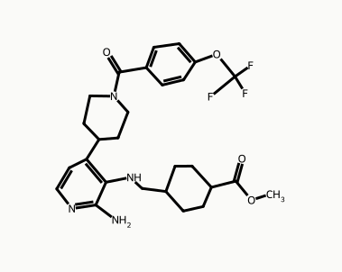 COC(=O)C1CCC(CNc2c(C3CCN(C(=O)c4ccc(OC(F)(F)F)cc4)CC3)ccnc2N)CC1